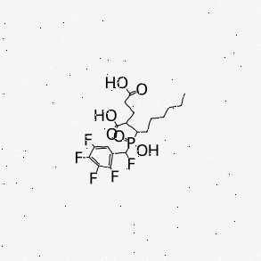 CCCCCCC(C(CCC(=O)O)C(=O)O)P(=O)(O)C(F)c1cc(F)c(F)c(F)c1F